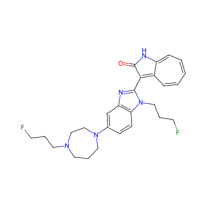 O=c1[nH]c2cccccc-2c1-c1nc2cc(N3CCCN(CCCF)CC3)ccc2n1CCCF